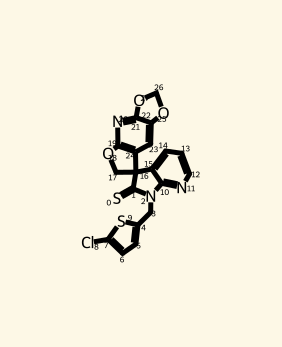 S=C1N(Cc2ccc(Cl)s2)c2ncccc2C12COc1nc3c(cc12)OCO3